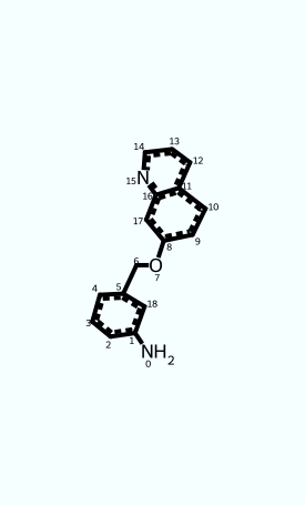 Nc1cccc(COc2ccc3cccnc3c2)c1